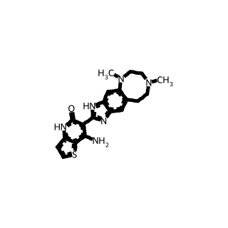 CN1CCc2cc3nc(-c4c(N)c5sccc5[nH]c4=O)[nH]c3cc2N(C)CC1